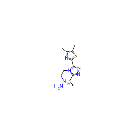 Cc1nc(-c2nnc3n2CCN(N)[C@@H]3C)sc1C